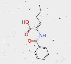 CCCC=C(NC(=O)c1ccccc1)C(=O)O